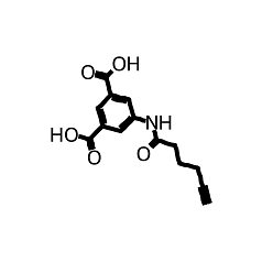 C#CCCCC(=O)Nc1cc(C(=O)O)cc(C(=O)O)c1